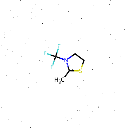 CC1SCCN1C(F)(F)F